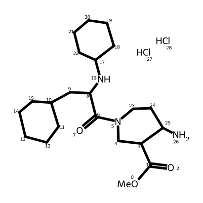 COC(=O)C1CN(C(=O)C(CC2CCCCC2)NC2CCCCC2)CCC1N.Cl.Cl